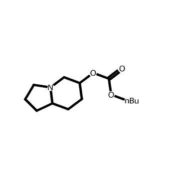 CCCCOC(=O)OC1CCC2CCCN2C1